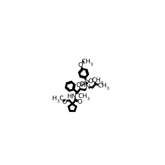 COCC1(C(=O)N[C@@](C)(c2ccccc2)[C@H](O)CN(CC(C)C)S(=O)(=O)c2ccc(OC)cc2)CCCC1